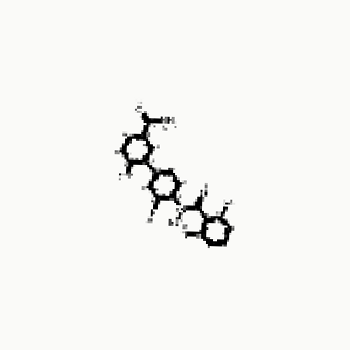 CCN(C(=O)c1c(F)cccc1Cl)c1ccc(-c2cc(C(N)=O)ccc2Cl)cc1F